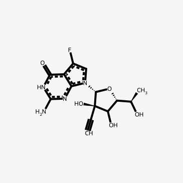 C#C[C@@]1(O)C(O)[C@@H]([C@@H](C)O)O[C@H]1n1cc(F)c2c(=O)[nH]c(N)nc21